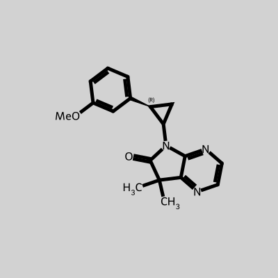 COc1cccc([C@H]2CC2N2C(=O)C(C)(C)c3nccnc32)c1